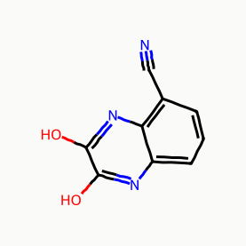 N#Cc1cccc2nc(O)c(O)nc12